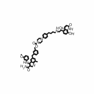 COc1cccc(Nc2c(C(N)=O)cnc3c(C)cc(Cc4cccc(COC(=O)N5CCN(c6ccc(CCCCNC[C@H](O)c7ccc(O)c8[nH]c(=O)ccc78)cc6)CC5)c4)cc23)c1